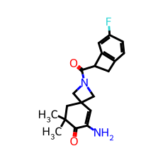 CC1(C)CC2(C=C(N)C1=O)CN(C(=O)C1Cc3ccc(F)cc31)C2